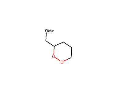 COCC1CCCOO1